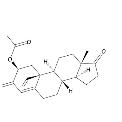 C=C[C@]12C[C@H](OC(C)=O)C(=O)C=C1CC[C@@H]1[C@@H]2CC[C@]2(C)C(=O)CC[C@@H]12